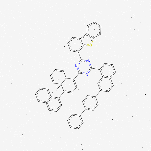 CC12C=CC=CC1C(c1nc(-c3cccc4ccc(-c5ccc(-c6ccccc6)cc5)cc34)nc(-c3cccc4c3sc3ccccc34)n1)=CC=C2c1cccc2ccccc12